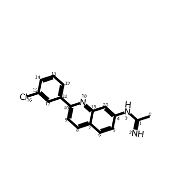 CC(=N)Nc1ccc2ccc(-c3cccc(Cl)c3)nc2c1